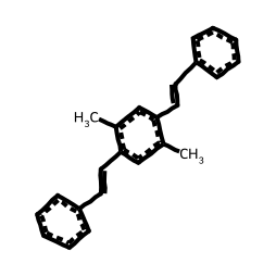 Cc1cc(C=Cc2ccccc2)c(C)cc1C=Cc1ccccc1